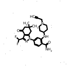 C#CCN1CCC(Nc2cc(-n3nc(C(F)F)c4c3CC(C)(C)CC4=O)ccc2C(N)=O)CC1